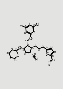 Cc1cc(Cl)cc(OC[C@@H]2[C@@H](CCCc3ccc(C=O)s3)[C@H](C#N)C[C@H]2OC2CCCCO2)c1